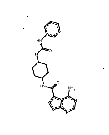 Nc1ncnc2scc(C(=O)NC3CCC(NC(=O)Nc4ccccc4)CC3)c12